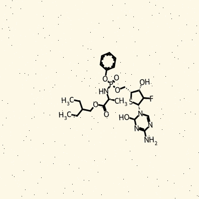 CCC(CC)COC(=O)[C@H](C)NP(=O)(OC[C@H]1S[C@@H](N2C=NC(N)=NC2O)C(F)[C@H]1O)Oc1ccccc1